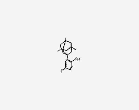 CC12CC3(C)CC(C)(C1)CC(c1cc(F)ccc1O)(C2)C3